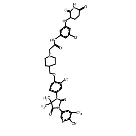 CCc1cc(N2C(=S)N(c3cnc(C#N)c(C(F)(F)F)c3)C(=O)C2(C)C)ccc1OCC1CCN(CC(=O)Nc2cc(Cl)cc(NC3CCC(=O)NC3=O)c2)CC1